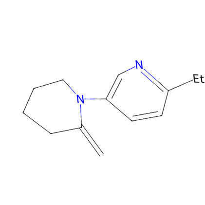 C=C1CCCCN1c1ccc(CC)nc1